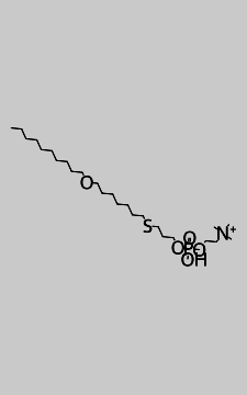 CCCCCCCCCCOCCCCCCCSCCCOP(=O)(O)OCC[N+](C)(C)C